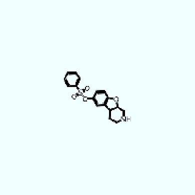 O=S(=O)(Oc1ccc2c(c1)C1CCNCC1O2)c1ccccc1